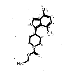 CCOC(=O)N1CCC(c2occ3c(C)ccc(C)c23)CC1